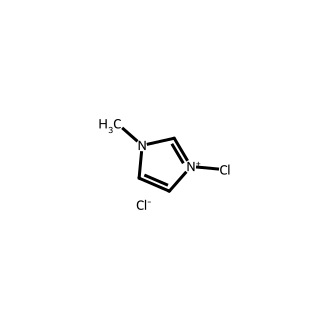 Cn1cc[n+](Cl)c1.[Cl-]